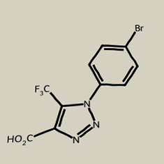 O=C(O)c1nnn(-c2ccc(Br)cc2)c1C(F)(F)F